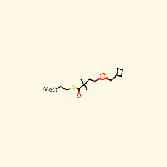 COCCSC(=O)C(C)(C)CCOCC1CCC1